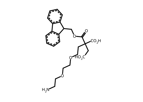 NCCOCCOCCC(CC(=O)O)(C(=O)O)C(=O)OCC1c2ccccc2-c2ccccc21